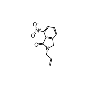 C=CCN1Cc2cccc([N+](=O)[O-])c2C1=O